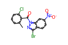 Cc1cccc(Cl)c1C(=O)n1nc(Br)c2ccc([N+](=O)[O-])cc21